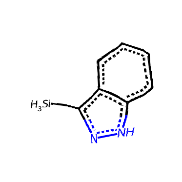 [SiH3]c1n[nH]c2ccccc12